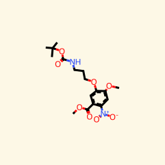 COC(=O)c1cc(OCCCNC(=O)OC(C)(C)C)c(OC)cc1[N+](=O)[O-]